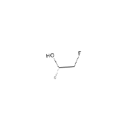 C[C@H](O)CF